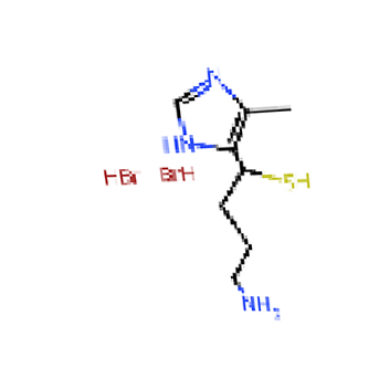 Br.Br.Cc1nc[nH]c1C(S)CCCN